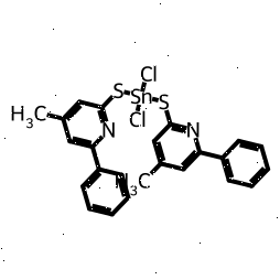 Cc1cc([S][Sn]([Cl])([Cl])[S]c2cc(C)cc(-c3ccccc3)n2)nc(-c2ccccc2)c1